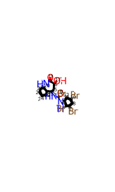 O=C(Nc1c(Br)c(Br)cc(Br)c1Br)NC1C=C(O)C(=O)Nc2ccccc21